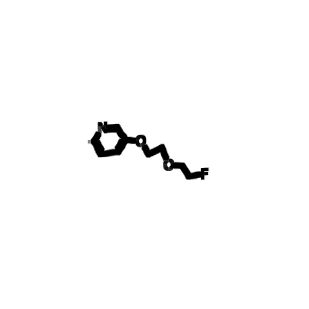 FCCOCCOc1cc[c]nc1